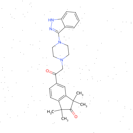 CC1(C)C(=O)C(C)(C)c2cc(C(=O)CN3CCN(c4n[nH]c5ccccc45)CC3)ccc21